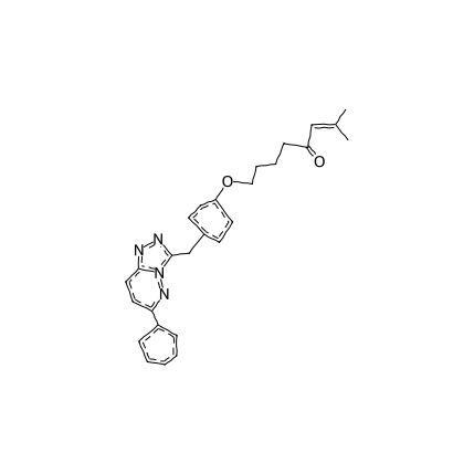 CC(C)=CC(=O)CCCCOc1ccc(Cc2nnc3ccc(-c4ccccc4)nn23)cc1